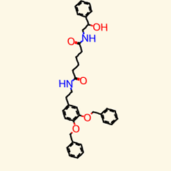 O=C(CCCCC(=O)NCC(O)c1ccccc1)NCCc1ccc(OCc2ccccc2)c(OCc2ccccc2)c1